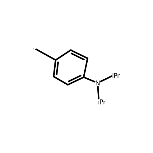 [CH2]c1ccc(N(C(C)C)C(C)C)cc1